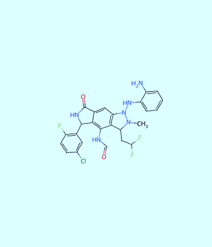 CN1C(CC(F)F)c2c(cc3c(c2NC=O)C(c2cc(Cl)ccc2F)NC3=O)N1Nc1ccccc1N